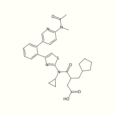 CC(=O)N(C)c1ccc(-c2ccccc2-c2csc(N(C(=O)C(CC(=O)O)CC3CCCC3)C3CC3)n2)cn1